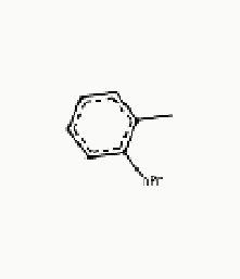 CCCc1[c]cccc1C